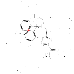 CNC(=O)c1nc2n(n1)-c1ccc(Cl)cc1C1(c3ccccc3Cl)OCCN1C2